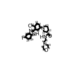 O=C(NCCN1CCOCC1)[C@H]1CCCN(c2ccc(Cl)c(-c3nc4cc(F)ccc4[nH]3)c2)C1